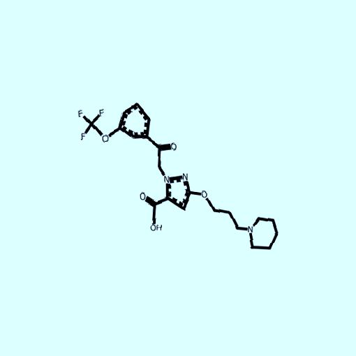 O=C(Cn1nc(OCCCN2CCCCC2)cc1C(=O)O)c1cccc(OC(F)(F)F)c1